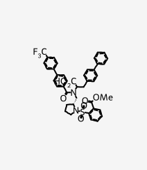 COC(=O)c1ccccc1S(=O)(=O)N1CCC[C@@H]1CN(C(=O)c1ccc(-c2ccc(C(F)(F)F)cc2)cc1)C(Cc1ccc(-c2ccccc2)cc1)C(=O)O